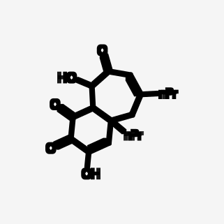 CCCC1=CC(=O)C(O)C2C(=O)C(=O)C(O)=CC2(CCC)C1